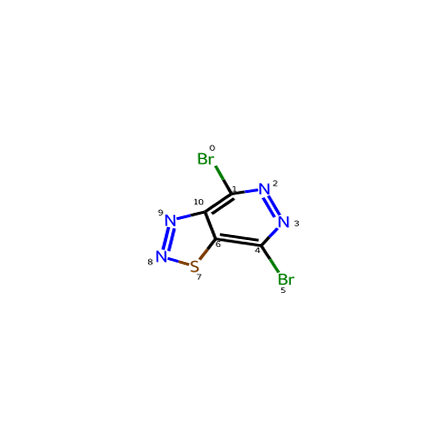 Brc1nnc(Br)c2snnc12